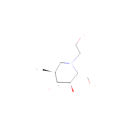 C[C@H]1CN(CCO)[C@H](CO)[C@@H](O)[C@@H]1O